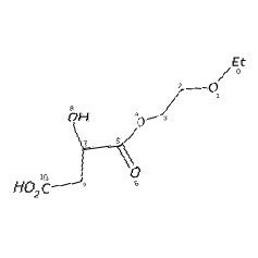 CCOCCOC(=O)C(O)CC(=O)O